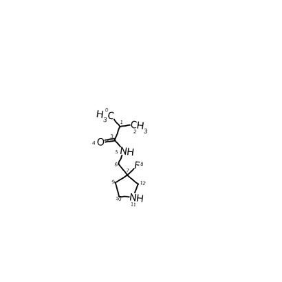 CC(C)C(=O)NCC1(F)CCNC1